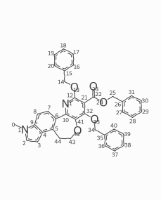 Cn1ccc2c3c(ccc21)-c1nc(OCc2ccccc2)c(C(=O)OCc2ccccc2)c(OCc2ccccc2)c1OCC3